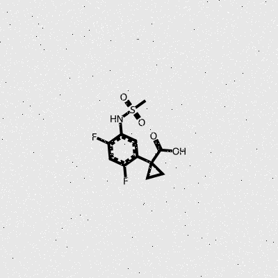 CS(=O)(=O)Nc1cc(C2(C(=O)O)CC2)c(F)cc1F